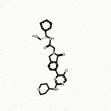 O=C(CN1Cc2ccc(-c3nc(NC4CCOCC4)ncc3Cl)cc2C1=O)N[C@H](CO)c1ccccc1